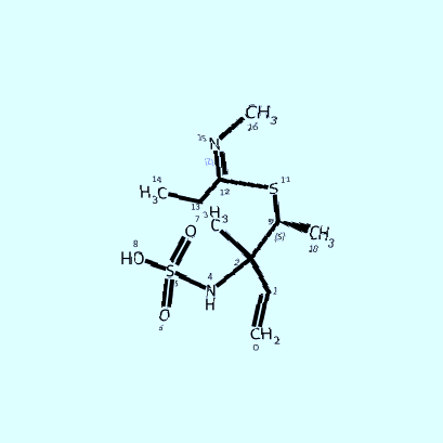 C=CC(C)(NS(=O)(=O)O)[C@H](C)S/C(CC)=N\C